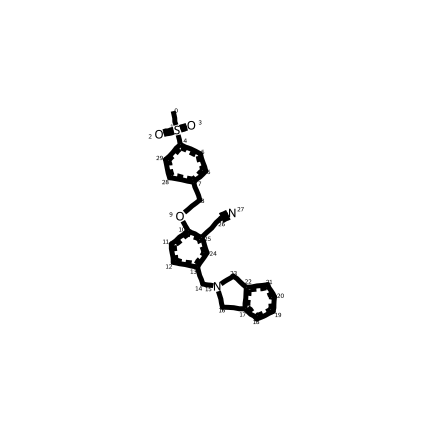 CS(=O)(=O)c1ccc(COc2ccc(CN3Cc4ccccc4C3)cc2C#N)cc1